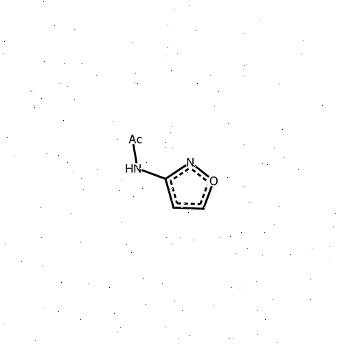 CC(=O)Nc1ccon1